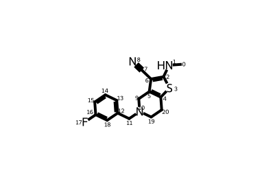 CNc1sc2c(c1C#N)CN(Cc1cccc(F)c1)CC2